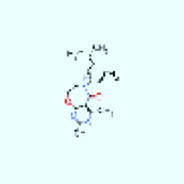 C=C/C(=C\C=C(C)C)N1CCOc2nc(C)nc(C)c2C1=O